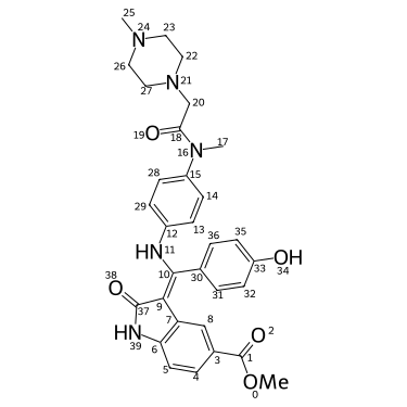 COC(=O)c1ccc2c(c1)/C(=C(/Nc1ccc(N(C)C(=O)CN3CCN(C)CC3)cc1)c1ccc(O)cc1)C(=O)N2